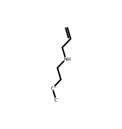 C=CCNCC[CH+][CH2-]